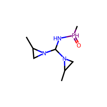 CC1CN1C(N[PH](C)=O)N1CC1C